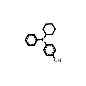 Oc1ccc(P(c2ccccc2)C2CCCCC2)cc1